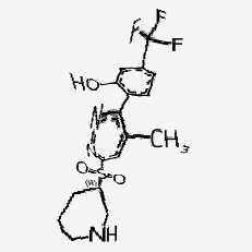 Cc1cc(S(=O)(=O)[C@@H]2CCCNC2)nnc1-c1ccc(C(F)(F)F)cc1O